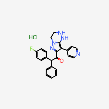 Cl.O=C(c1nn2c(c1-c1ccncc1)NNCC2)C(c1ccccc1)c1ccc(F)cc1